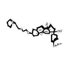 COc1ccc(C2(O)CC[C@H]3[C@@H]4CCC5CC(OCCOCCN6CCCC6)CC[C@]5(C)[C@@H]4CC[C@@]32C)cc1